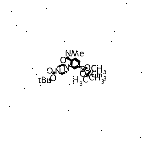 CNC(=O)c1ccc(B2OC(C)(C)C(C)(C)O2)cc1N1CCN(C(=O)OC(C)(C)C)CC1